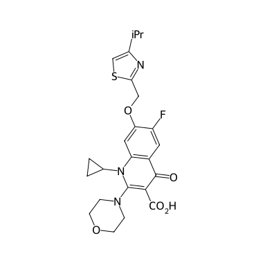 CC(C)c1csc(COc2cc3c(cc2F)c(=O)c(C(=O)O)c(N2CCOCC2)n3C2CC2)n1